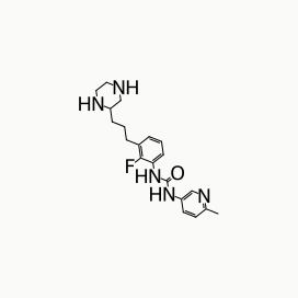 Cc1ccc(NC(=O)Nc2cccc(CCCC3CNCCN3)c2F)cn1